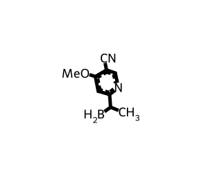 BC(C)c1cc(OC)c(C#N)cn1